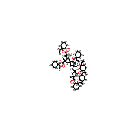 C=CC1(OC(=O)C(C)(C)CC(C)(CC(C)(CC(C)(CC(C)(CC(C)(CC)C(=O)OC2(C=C)CCCCC2)C(=O)OC2(C=C)CCCCC2)C(=O)OC2(C=C)CCCCC2)C(=O)OC2(C=C)CCCCC2)C(=O)OC2(C=C)CCCCC2)CCCCC1